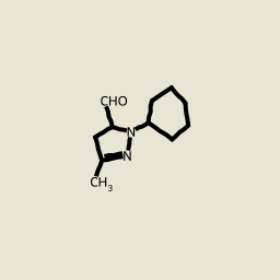 CC1=NN(C2CCCCC2)C(C=O)C1